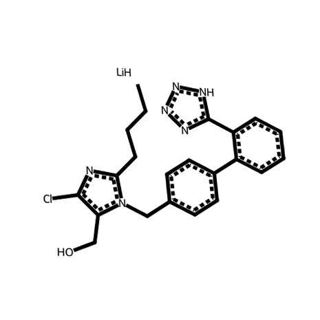 CCCCc1nc(Cl)c(CO)n1Cc1ccc(-c2ccccc2-c2nnn[nH]2)cc1.[LiH]